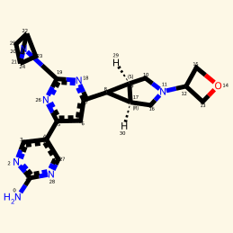 Nc1ncc(-c2cc(C3[C@H]4CN(C5COC5)C[C@@H]34)nc(N3CC4CC3C4)n2)cn1